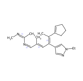 CCn1cc(C(/C=C(C)/C=N\C(C)=N/C)=C(/C)C2=CCCC2)cn1